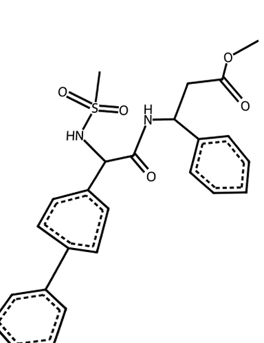 COC(=O)CC(NC(=O)C(NS(C)(=O)=O)c1ccc(-c2ccccc2)cc1)c1ccccc1